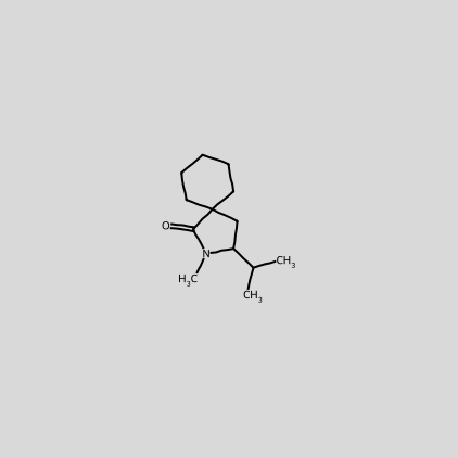 CC(C)C1CC2(CCCCC2)C(=O)N1C